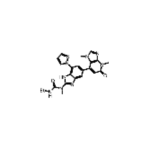 CCNC(=O)Nc1nc2cc(-c3cc(=O)n(C)c4ncn(C)c34)cc(-n3cccn3)c2[nH]1